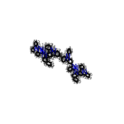 c1ccc(-n2c3ccc(-c4nnc(-n5c6ccc7ccccc7c6c6cc7c8ccccc8n8c9ccccc9c(c65)c78)c5ccccc45)cc3c3ccc(-c4ccc5c(c4)c4cc6c7c8ccccc8ccc7n(-c7nnc(-n8c9ccccc9c9ccccc98)c8ccccc78)c6c6c7ccccc7n5c46)cc32)cc1